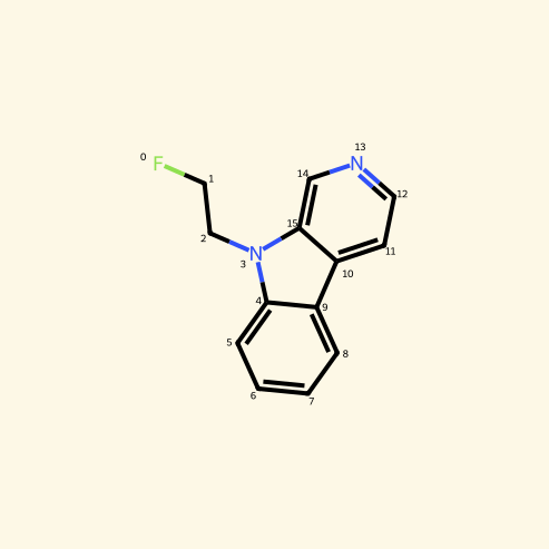 FCCn1c2ccccc2c2ccncc21